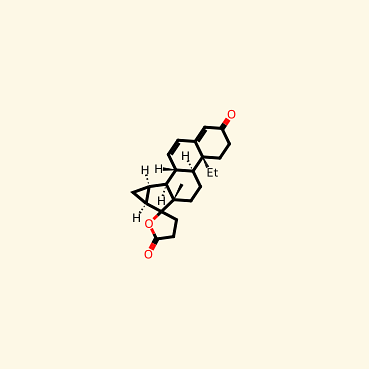 CC[C@]12CCC(=O)C=C1C=C[C@H]1[C@@H]3[C@@H]4C[C@@H]4C4(CCC(=O)O4)[C@@]3(C)CC[C@@H]12